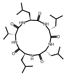 CC(C)C[C@@H]1NC(=O)[C@@H](CC(C)C)NC(=O)[C@@H](CC(C)C)NC(=O)[C@H](CC(C)C)NC(=O)[C@@H](C(C)C)NC1=O